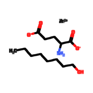 CCCCCCCCO.NC(CCC(=O)[O-])C(=O)[O-].[Zn+2]